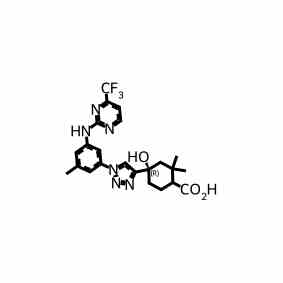 Cc1cc(Nc2nccc(C(F)(F)F)n2)cc(-n2cc([C@@]3(O)CCC(C(=O)O)C(C)(C)C3)nn2)c1